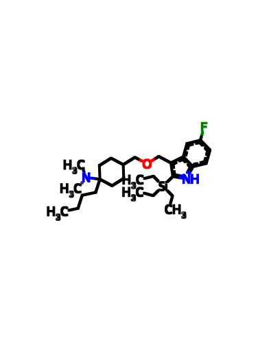 CCCCC1(N(C)C)CCC(COCc2c([Si](CC)(CC)CC)[nH]c3ccc(F)cc23)CC1